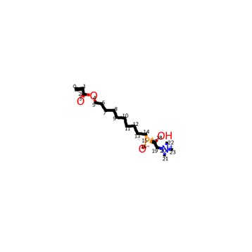 C=CC(=O)OCCCCCCCCCC/[P+]([O-])=C(\O)C[N+](C)(C)C